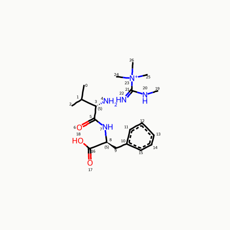 CC(C)[C@H](N)C(=O)N[C@@H](Cc1ccccc1)C(=O)O.CNC(=N)[N+](C)(C)C